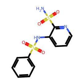 NS(=O)(=O)c1ncccc1NS(=O)(=O)c1ccccc1